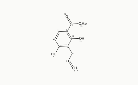 C=CCc1c(O)ccc(C(=O)OC)c1O